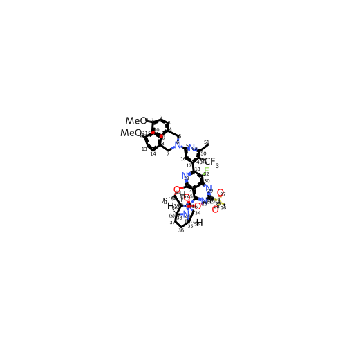 COc1ccc(CN(Cc2ccc(OC)cc2)c2cc(-c3nc4c5c(nc(S(C)(=O)=O)nc5c3F)N3C[C@H]5CC[C@@H]([C@H]3[C@H](C)O4)N5C(=O)OC(C)(C)C)c(C(F)(F)F)c(C)n2)cc1